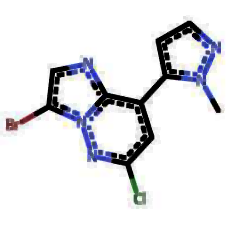 Cn1nccc1-c1cc(Cl)nn2c(Br)cnc12